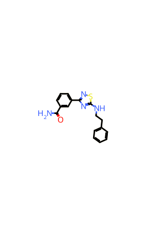 NC(=O)c1cccc(-c2nsc(NCCc3ccccc3)n2)c1